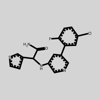 NC(=O)C(Nc1cncc(-c2cc(Cl)ccc2F)c1)c1ccsc1